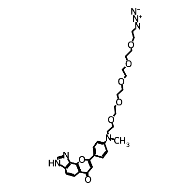 CN(CCOCCOCCOCCOCCOCCN=[N+]=[N-])c1ccc(-c2cc(=O)c3ccc4[nH]cnc4c3o2)cc1